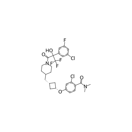 CN(C)C(=O)c1ccc(O[C@H]2C[C@@H](CC3CCN(C(=O)C(O)(c4cc(F)cc(Cl)c4)C(F)(F)F)CC3)C2)cc1Cl